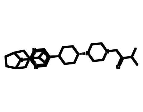 CC(C)C(=O)CN1CCN([C@H]2CC[C@H](c3cnc(N4C5CCC4CN(C(C)C)C5)nc3)CC2)CC1